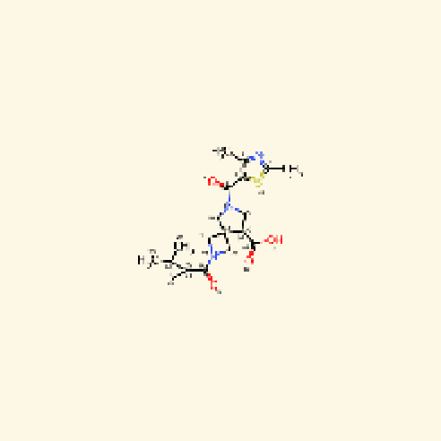 Cc1nc(C)c(C(=O)N2C[C@@H](C(=O)O)C3(C2)CN(C(=O)[C@H]2CC2(C)C)C3)s1